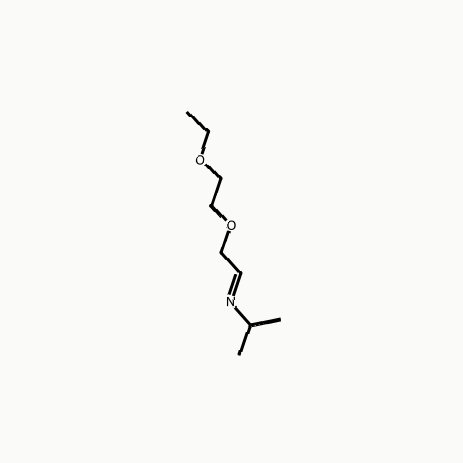 CCOCCOC/C=N/C(C)C